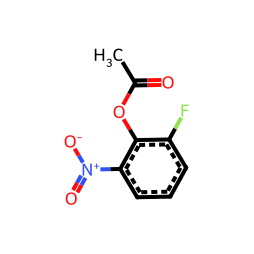 CC(=O)Oc1c(F)cccc1[N+](=O)[O-]